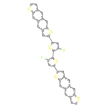 Fc1cc(-c2cc3cc4cc5sccc5cc4cc3s2)sc1-c1sc(-c2cc3cc4cc5sccc5cc4cc3s2)cc1F